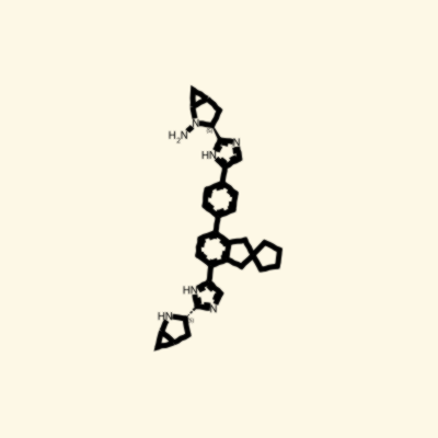 NN1C2CC2C[C@H]1c1ncc(-c2ccc(-c3ccc(-c4cnc([C@@H]5CC6CC6N5)[nH]4)c4c3CC3(CCCC3)C4)cc2)[nH]1